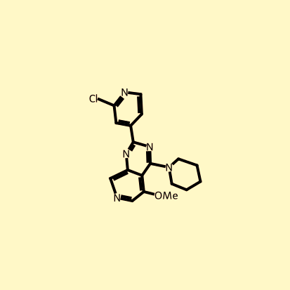 COc1cncc2nc(-c3ccnc(Cl)c3)nc(N3CCCCC3)c12